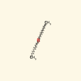 CCCCCCCCCCCCCCCCOOCCCCCCCCCCCCCCCC